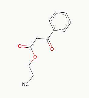 N#CCCOC(=O)CC(=O)c1ccccc1